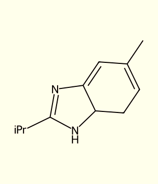 CC1=CCC2NC(C(C)C)=NC2=C1